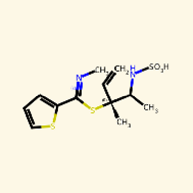 C=C[C@@](C)(S/C(=N\C)c1cccs1)C(C)NS(=O)(=O)O